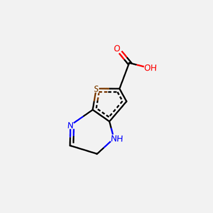 O=C(O)c1cc2c(s1)N=CCN2